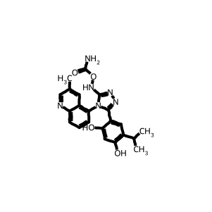 Cc1cnc2cccc(-n3c(NOC(N)=O)nnc3-c3cc(C(C)C)c(O)cc3O)c2c1